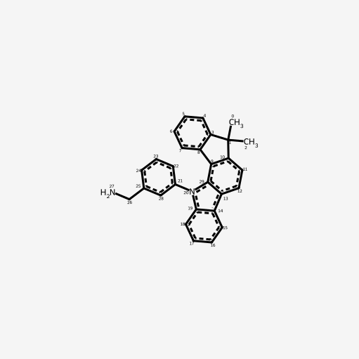 CC1(C)c2ccccc2-c2c1ccc1c3ccccc3n(-c3cccc(CN)c3)c21